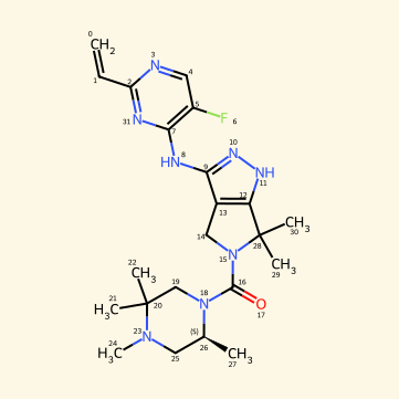 C=Cc1ncc(F)c(Nc2n[nH]c3c2CN(C(=O)N2CC(C)(C)N(C)C[C@@H]2C)C3(C)C)n1